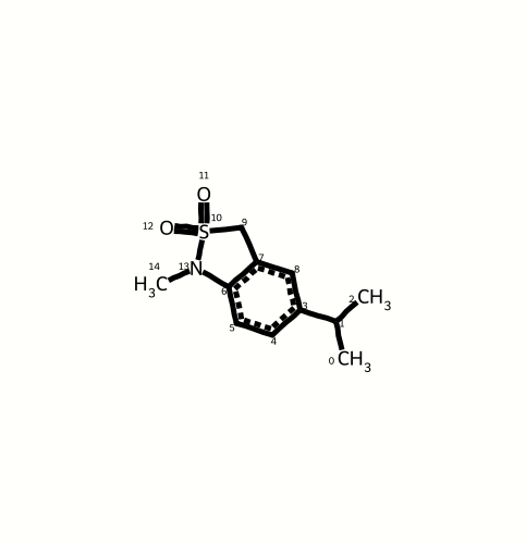 CC(C)c1ccc2c(c1)CS(=O)(=O)N2C